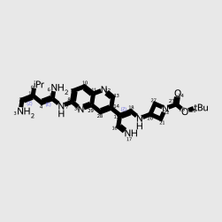 CC(C)C(=C/N)/C=C(\N)Nc1ccc2ncc(/C(C=N)=C/NC3CN(C(=O)OC(C)(C)C)C3)cc2n1